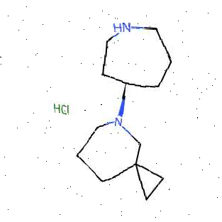 C1CNCC[C@H](N2CCCC3(CC3)C2)C1.Cl